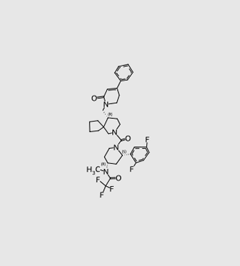 CN(C(=O)C(F)(F)F)[C@@H]1CCN(C(=O)N2CC[C@@H](CN3CCC(c4ccccc4)=CC3=O)C3(CCCC3)C2)[C@H](c2cc(F)ccc2F)C1